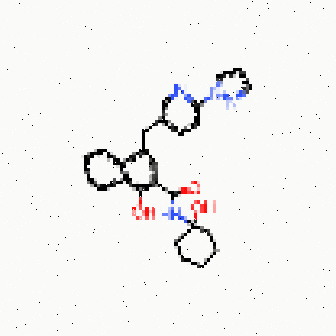 O=C(NC1(O)CCCCC1)c1cc(Cc2ccc(-n3cccn3)nc2)c2ccccc2c1O